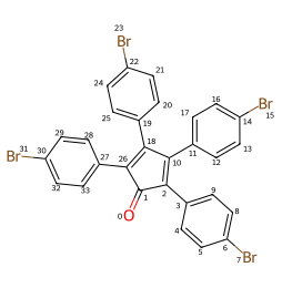 O=C1C(c2ccc(Br)cc2)=C(c2ccc(Br)cc2)C(c2ccc(Br)cc2)=C1c1ccc(Br)cc1